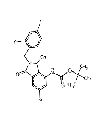 CC(C)(C)OC(=O)Nc1cc(Br)cc2c1C(O)N(Cc1ccc(F)cc1F)C2=O